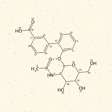 CC(=O)NC1C(Oc2ccccc2-c2cccc(C(=O)O)c2)OC(CO)C(O)C1O